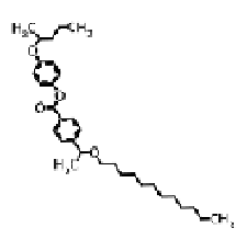 CCCCCCCCCCCCOC(C)c1ccc(C(=O)Oc2ccc(OC(C)CCC)cc2)cc1